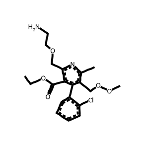 CCOC(=O)c1c(COCCN)nc(C)c(COOC)c1-c1ccccc1Cl